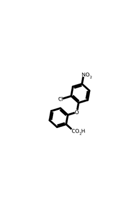 O=C(O)c1ccccc1Oc1ccc([N+](=O)[O-])cc1Cl